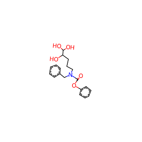 O=C(Oc1ccccc1)N(CCCC(O)C(O)O)Cc1ccccc1